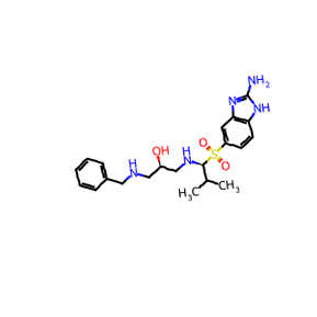 CC(C)[C@@H](NC[C@H](O)CNCc1ccccc1)S(=O)(=O)c1ccc2[nH]c(N)nc2c1